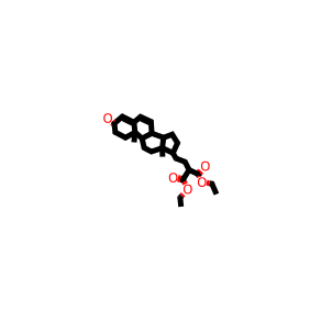 CCOC(=O)C(CCC1CCC2C3C=CC4=CC(=O)CCC4(C)C3CCC12C)C(=O)OCC